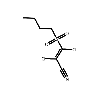 CCCCS(=O)(=O)C(Cl)=C(Cl)C#N